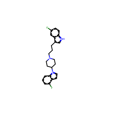 Fc1ccc2[nH]cc(CCCN3CCC(n4ccc5c(F)cccc54)CC3)c2c1